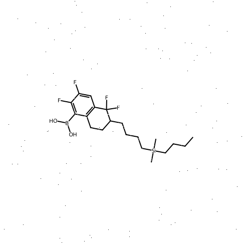 CCCC[Si](C)(C)CCCCC1CCc2c(cc(F)c(F)c2B(O)O)C1(F)F